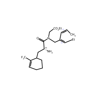 C/C=C\C(=C/CC)CN(CC(=O)OCC)C(=O)[C@H](N)CC1CCCC=C1C(F)(F)F